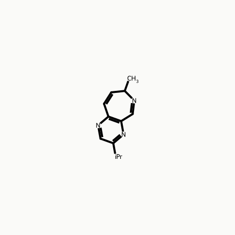 CC1C=Cc2ncc(C(C)C)nc2C=N1